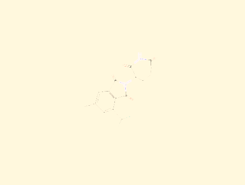 Cc1cc2c(c(C(F)F)c1)C(=O)N(C1CCC(=O)NC1=O)C2=O